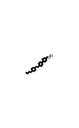 C=CCCC1CCC(CCc2ccc(-c3ccc(COCC)cc3)cc2)CC1